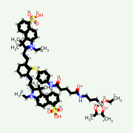 CCO[Si](CCCNC(=O)CCCC(=O)Nc1ccc(SC2=C(/C=C/C3=[N+](CC)c4ccc5c(S(=O)(=O)O)cccc5c4C3(C)C)CCC/C2=C\C=C2\N(CC)c3ccc4c(S(=O)(=O)O)cccc4c3C2(C)C)cc1)(OCC)OCC